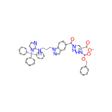 COC(=O)[C@H](CNC(=O)c1ccc2c(cnn2CCCNc2nccn2C(c2ccccc2)(c2ccccc2)c2ccccc2)c1)NC(=O)OCc1ccccc1